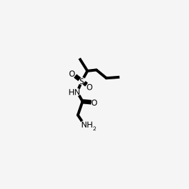 CCCC(C)S(=O)(=O)NC(=O)CN